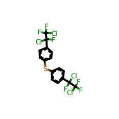 FC(F)(Cl)C(F)(Cl)c1ccc(Sc2ccc(C(F)(Cl)C(F)(F)Cl)cc2)cc1